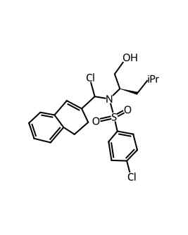 CC(C)C[C@H](CO)N(C(Cl)C1=Cc2ccccc2CC1)S(=O)(=O)c1ccc(Cl)cc1